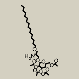 CCCCCCCCCCCCCCCCOC[C@@H](N)COC1OC(COC(C)=O)C(OC(C)=O)C(OC(C)=O)C1OC(C)=O